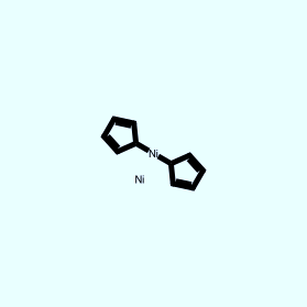 C1=C[CH]([Ni][CH]2C=CC=C2)C=C1.[Ni]